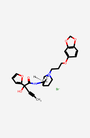 CC#CC(O)(C(=O)N[C@H]1C[N+]2(CCCOc3ccc4c(c3)OCO4)CCC1CC2)c1ccco1.[Br-]